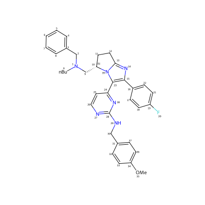 CCCCN(Cc1ccccc1)C[C@@H]1CCc2nc(-c3ccc(F)cc3)c(-c3ccnc(NCc4ccc(OC)cc4)n3)n21